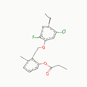 CCC(=O)Oc1cccc(C)c1COc1cc(Cl)c(CC)cc1F